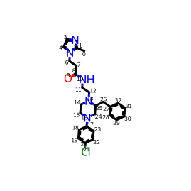 Cc1nccn1CCC(=O)NCCN1CCN(c2ccc(Cl)cc2)CC1Cc1ccccc1